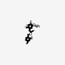 Cc1ccc(COC(C)Cc2cc(OC(C)C)c(F)cc2C)c(F)c1